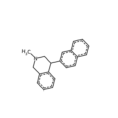 CN1Cc2c[c]ccc2C(c2ccc3ccccc3c2)C1